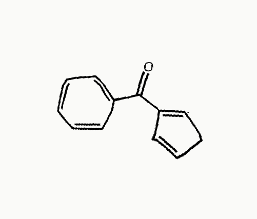 O=C(C1=[C]CC=C1)c1ccccc1